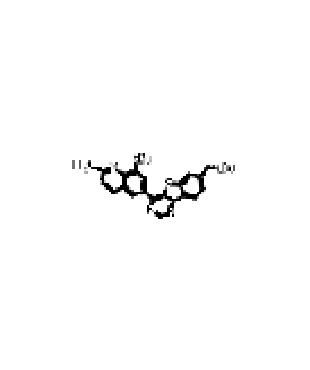 Cc1ccc2cc(-c3ncnc4c3sc3cc(CC(C)(C)C)ccc34)cc(C(C)(C)C)c2n1